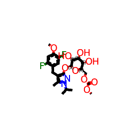 COC(=O)OC[C@H]1O[C@@H](Oc2nn(C(C)C)c(C)c2Cc2cc(F)c(OC)cc2F)[C@H](O)[C@@H](O)[C@@H]1O